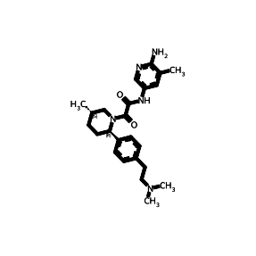 Cc1cc(NC(=O)C(=O)N2C[C@@H](C)CC[C@@H]2c2ccc(CCN(C)C)cc2)cnc1N